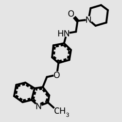 Cc1cc(COc2ccc(NCC(=O)N3CCCCC3)cc2)c2ccccc2n1